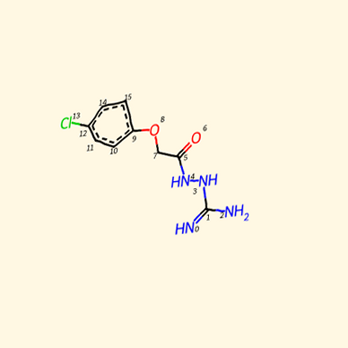 N=C(N)NNC(=O)COc1ccc(Cl)cc1